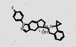 C[C@]12Cc3cnn(-c4ccc(F)cc4)c3C=C1CC[C@@]2(O)CCc1ccccc1C1(N)CC1